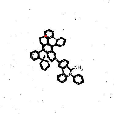 Cc1ccccc1N(c1ccccc1)C(N)c1ccc(-c2ccc3c(-c4ccccc4C4(C)C=CC=CC4)c4c(c(C5=CC=CC[C@@H]5c5ccccc5)c3c2)=CCCC=4)cc1